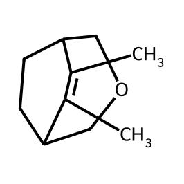 CC1=C(C)C2CCC1COC2